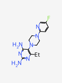 CCc1nc(N)nc(N)c1N1CCN(c2ccc(F)cn2)CC1